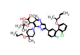 C=CCOC1(C)CCN(c2c(C(OC(C)(C)C)C(=O)O)c(C)nc3cc(-c4ccc(F)c(-c5c(Cl)cccc5OC(C)CC=C)c4)nn23)CC1